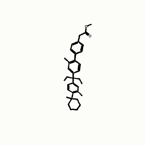 CCC(CC)(c1ccc(-c2ccc(CC(=O)OC)cc2)c(C)c1)c1ccc(C2(C)CCCCC2)c(C)c1